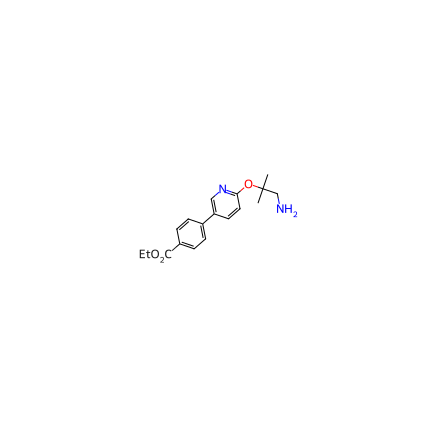 CCOC(=O)c1ccc(-c2ccc(OC(C)(C)CN)nc2)cc1